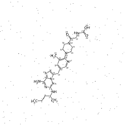 CCCC(C)Nc1nc(N)c2ncc(Cc3cnc(N4CCN(C(=O)CNC(=O)O)CC4)c(C)c3)n2n1